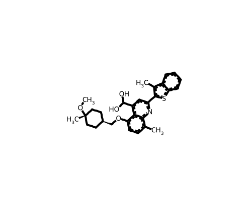 CO[C@]1(C)CC[C@@H](COc2ccc(C)c3nc(-c4sc5ccccc5c4C)cc(C(O)O)c23)CC1